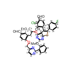 CCOC(=O)[C@@H](Cc1cc(C=O)ccc1OCc1ccnc(-c2ccccc2OC)n1)Oc1ncnc2sc(-c3ccc(F)cc3)c(-c3ccc(C=O)c(Cl)c3C)c12